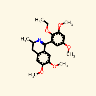 CCOc1c(OC)cc(OC)cc1C1=NC(C)Cc2cc(OC)c(OC)cc21